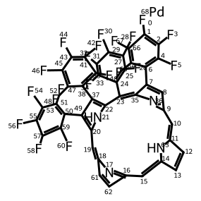 Fc1c(F)c(F)c(C2=Cc3cc4ccc(cc5nc(cc6[nH]c(c(-c7c(F)c(F)c(F)c(F)c7F)c2n3)c(-c2c(F)c(F)c(F)c(F)c2F)c6-c2c(F)c(F)c(F)c(F)c2F)C=C5)[nH]4)c(F)c1F.[Pd]